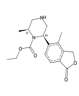 CCOC(=O)N1[C@@H](C)CNC[C@H]1c1ccc2c(c1C)COC2=O